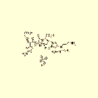 Cn1c(N)c(N(CCCN)C(=N)N)c[n+]1CC1=C(C(=O)O)N2C(=O)[C@@H](NC(=O)/C(=N\OCC(=O)O)c3nsc(N)n3)[C@H]2SC1.O=S(=O)([O-])[O-].[H+]